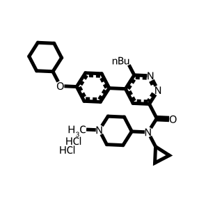 CCCCc1nnc(C(=O)N(C2CC2)C2CCN(C)CC2)cc1-c1ccc(OC2CCCCC2)cc1.Cl.Cl